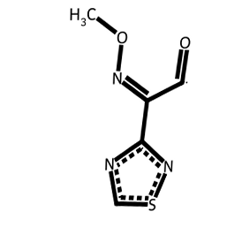 CON=C([C]=O)c1ncsn1